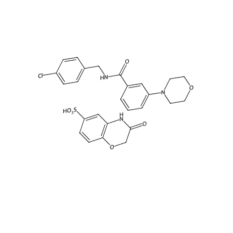 O=C(NCc1ccc(Cl)cc1)c1cccc(N2CCOCC2)c1.O=C1COc2ccc(S(=O)(=O)O)cc2N1